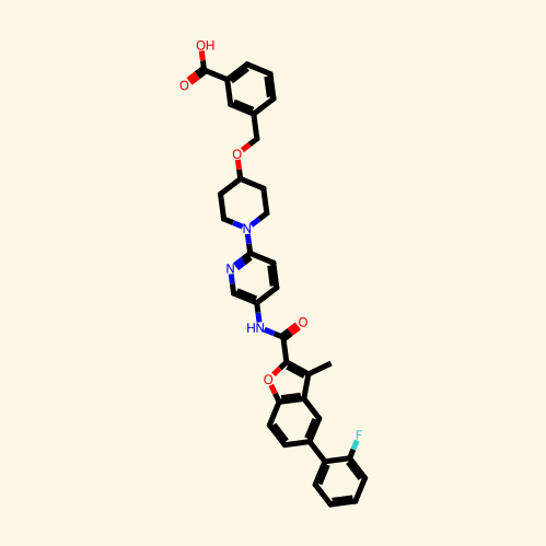 Cc1c(C(=O)Nc2ccc(N3CCC(OCc4cccc(C(=O)O)c4)CC3)nc2)oc2ccc(-c3ccccc3F)cc12